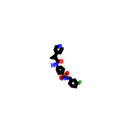 O=C(Nc1ccc(S(=O)(=O)NCc2cccc(F)c2)cc1)C1CC1c1ccncc1